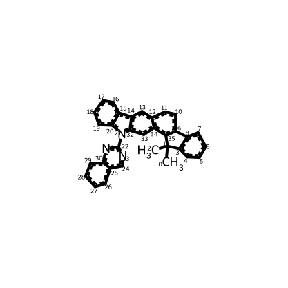 CC1(C)c2ccccc2-c2ccc3cc4c5ccccc5n(-c5ncc6ccccc6n5)c4cc3c21